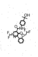 CC(C)(O)c1ccc(NC(=O)c2cn(C(F)F)nc(-c3ccccc3OCC(F)F)c2=O)cc1